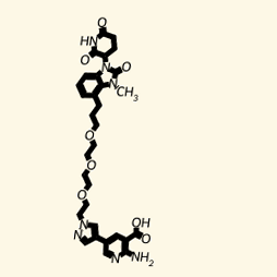 Cn1c(=O)n(C2CCC(=O)NC2=O)c2cccc(CCCOCCOCCOCCn3cc(-c4cnc(N)c(C(=O)O)c4)cn3)c21